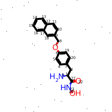 N[C@@H](Cc1ccc(OCc2ccc3ccccc3c2)cc1)C(=O)NO